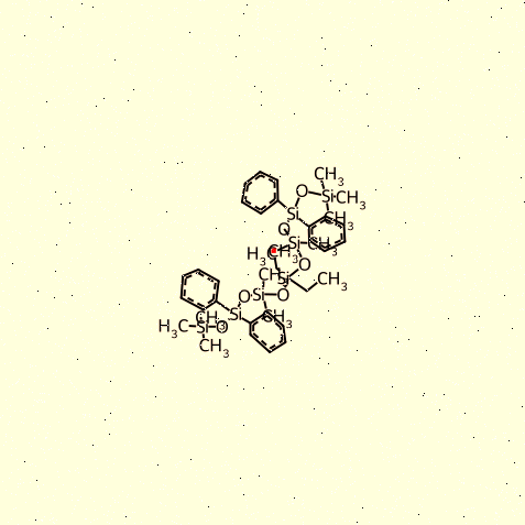 CC[Si](CC)(O[Si](C)(C)O[Si](O[Si](C)(C)C)(c1ccccc1)c1ccccc1)O[Si](C)(C)O[Si](O[Si](C)(C)C)(c1ccccc1)c1ccccc1